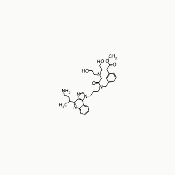 COC(=O)Cc1cccc(CN(CCCn2cnc3c(C(C)CCN)nc4ccccc4c32)C(=O)CN(CCO)CCO)c1